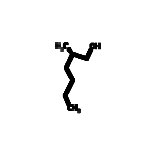 CCCC[C@@H](C)CO